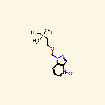 C[Si](C)(C)CCOCn1ncc2c1ccc[n+]2[O-]